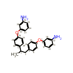 CC(Cc1ccc(Oc2cccc(N)c2)cc1)c1ccc(Oc2cccc(N)c2)cc1